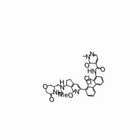 COc1nc(-c2cccc(-c3cccc(NC(=O)c4ccnn(C)c4=O)c3Cl)c2Cl)cc2c1[C@@H](NC[C@@H]1COCC(=O)N1)CC2